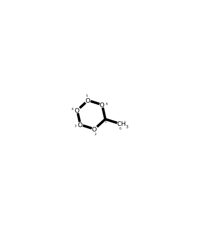 CC1OOOOO1